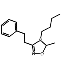 CCCCN1C(CCc2ccccc2)=NOC1C